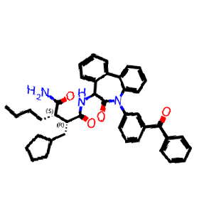 CCCC[C@H](C(N)=O)[C@@H](CC1CCCC1)C(=O)NC1C(=O)N(c2cccc(C(=O)c3ccccc3)c2)c2ccccc2-c2ccccc21